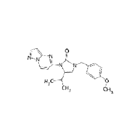 COc1ccc(CN2CC(C(C)C)N(c3ccn4nccc4n3)C2=O)cc1